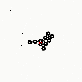 c1ccc(-c2ccc(-c3ccc(N(c4ccc5c(c4)C4(c6ccccc6-c6ccccc64)c4ccccc4-5)c4cccc5c6ccccc6c6ccccc6c45)cc3)cc2)cc1